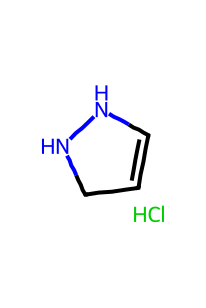 C1=CNNC1.Cl